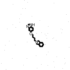 c1ccc2c(c1)CN(CCCCOc1ccc3[nH]cnc3c1)C2